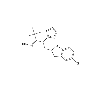 CC(C)(C)C(=NO)C(CC1Cc2cc(Cl)ccc2O1)n1cncn1